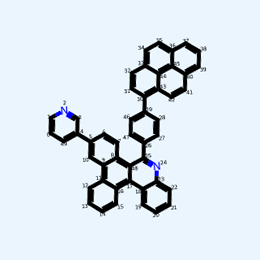 c1cncc(-c2ccc3c(c2)c2ccccc2c2c4ccccc4nc(-c4ccc(-c5ccc6ccc7cccc8ccc5c6c78)cc4)c32)c1